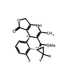 COC(=O)C1=C(C)NC2=C(C(=O)OC2)[C@@H]1c1cccc(F)c1[C@@H]1CC1(F)F